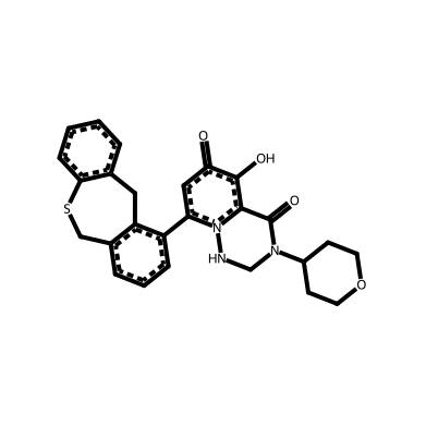 O=C1c2c(O)c(=O)cc(-c3cccc4c3Cc3ccccc3SC4)n2NCN1C1CCOCC1